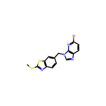 CSc1nc2ccc(Cn3cnc4ccc(Br)nc43)cc2s1